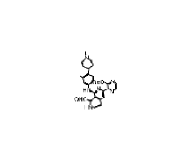 COc1nccnc1-c1cc2c(c(Nc3ccc(C4CCN(C)CC4)c(C)c3)n1)C(C=O)NC=C2